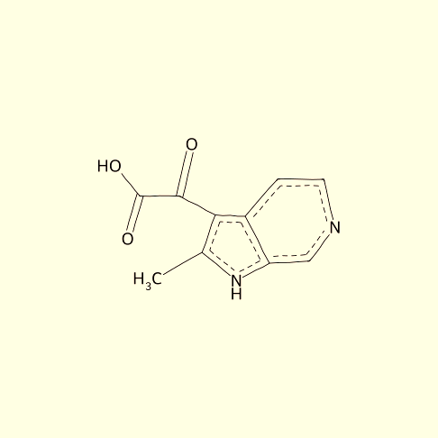 Cc1[nH]c2cnccc2c1C(=O)C(=O)O